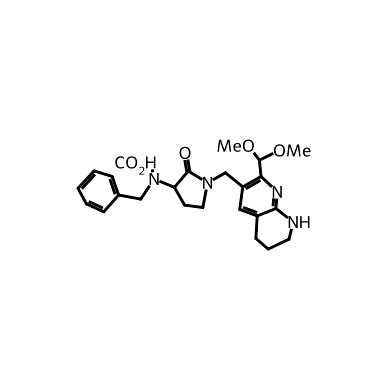 COC(OC)c1nc2c(cc1CN1CCC(N(Cc3ccccc3)C(=O)O)C1=O)CCCN2